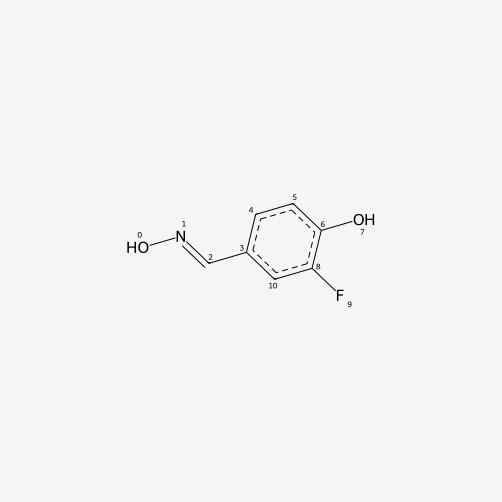 ON=Cc1ccc(O)c(F)c1